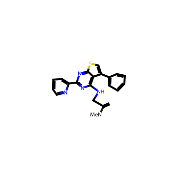 C=C(CNc1nc(-c2ccccn2)nc2scc(-c3ccccc3)c12)NC